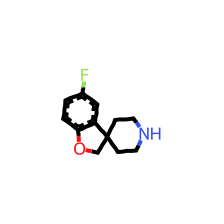 Fc1ccc2c(c1)C1(CCNCC1)CO2